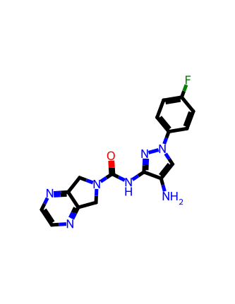 Nc1cn(-c2ccc(F)cc2)nc1NC(=O)N1Cc2nccnc2C1